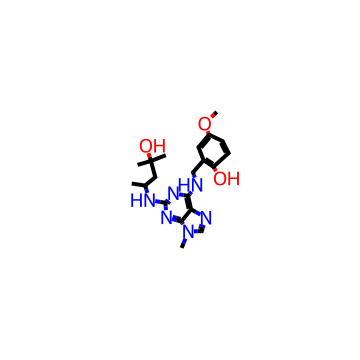 COc1ccc(O)c(CNc2nc(NC(C)CC(C)(C)O)nc3c2ncn3C)c1